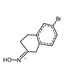 O/N=C1\CCc2cc(Br)ccc2C1